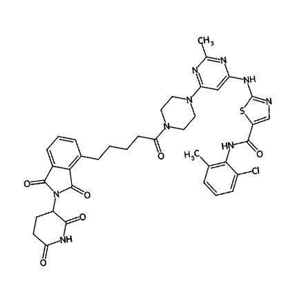 Cc1nc(Nc2ncc(C(=O)Nc3c(C)cccc3Cl)s2)cc(N2CCN(C(=O)CCCCc3cccc4c3C(=O)N(C3CCC(=O)NC3=O)C4=O)CC2)n1